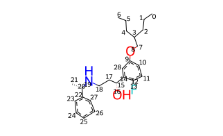 CCCC(CCC)COc1ccc(F)c([C@H](O)CCN[C@@H](C)c2ccccc2)c1